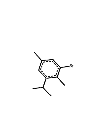 Cc1cc(Br)c(C)c(C(C)C)c1